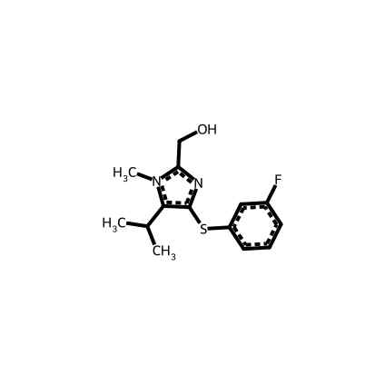 CC(C)c1c(Sc2cccc(F)c2)nc(CO)n1C